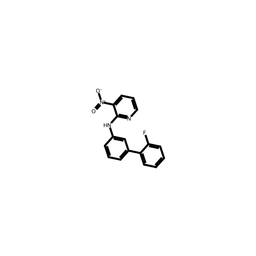 O=[N+]([O-])c1cccnc1Nc1cccc(-c2ccccc2F)c1